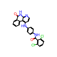 O=C(Nc1ccc(Nc2ccnc3[nH]c(=O)c4ccccc4c23)cc1)c1c(Cl)cccc1Cl